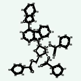 O=C(OC[C@H]1O[C@@H](n2c3cnccc3c3c(-c4cc5ccccc5o4)ncnc32)[C@H](OC(=O)c2ccccc2)[C@@H]1OC(=O)c1ccccc1)c1ccccc1